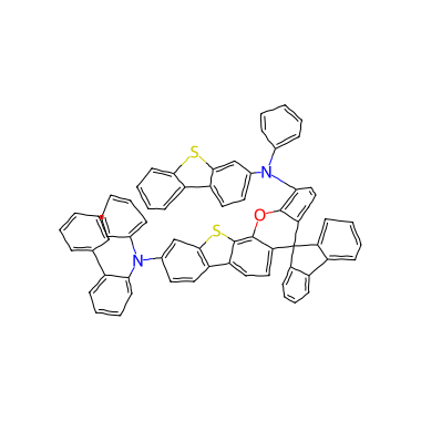 c1ccc(-c2ccccc2N(c2ccccc2)c2ccc3c(c2)sc2c4c(ccc23)C2(c3ccccc3-c3ccccc32)c2cccc(N(c3ccccc3)c3ccc5c(c3)sc3ccccc35)c2O4)cc1